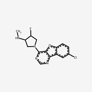 CNC1CN(c2ncnc3c2oc2ccc(Cl)cc23)CC1F